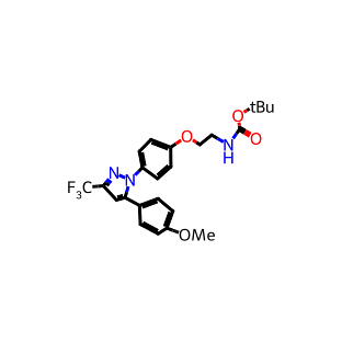 COc1ccc(-c2cc(C(F)(F)F)nn2-c2ccc(OCCNC(=O)OC(C)(C)C)cc2)cc1